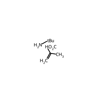 C=C(C)C(=O)O.CC(C)(C)N